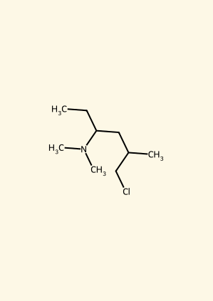 CCC(CC(C)CCl)N(C)C